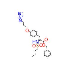 CCCCS(=O)(=O)N[C@@H](Cc1ccc(OCCCN=[N+]=[N-])cc1)C(=O)OCc1ccccc1